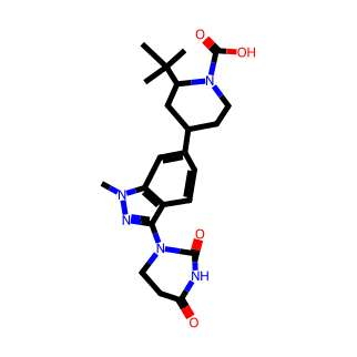 Cn1nc(N2CCC(=O)NC2=O)c2ccc(C3CCN(C(=O)O)C(C(C)(C)C)C3)cc21